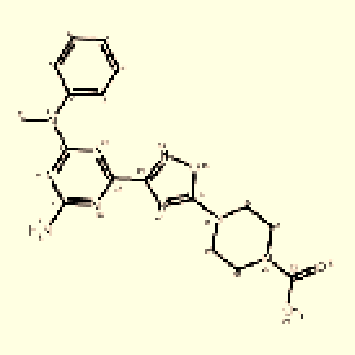 CN(c1ccccc1)c1nc(N)nc(-c2noc(N3CCN(C(=O)C(F)(F)F)CC3)n2)n1